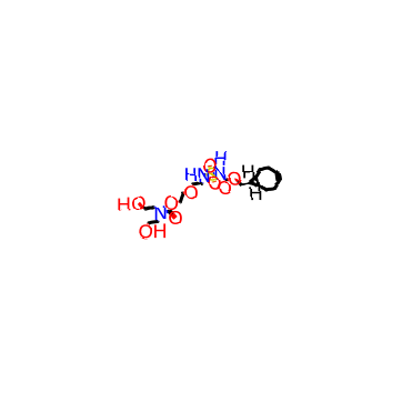 O=C(NS(=O)(=O)NCCOCCOC(=O)N(CCO)CCO)OC[C@@H]1[C@@H]2CCC#CCC[C@@H]21